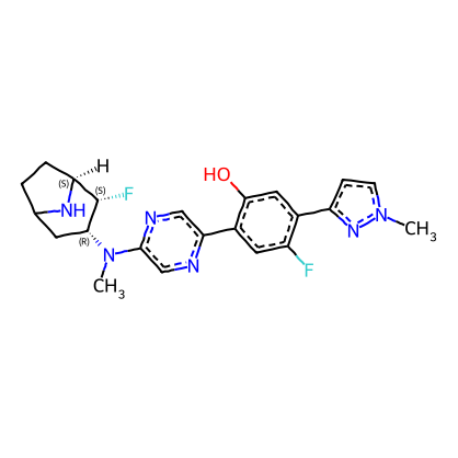 CN(c1cnc(-c2cc(F)c(-c3ccn(C)n3)cc2O)cn1)[C@@H]1CC2CC[C@H](N2)[C@@H]1F